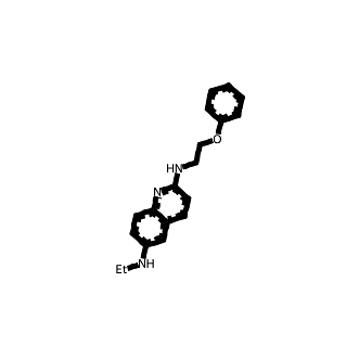 CCNc1ccc2nc(NCCOc3ccccc3)ccc2c1